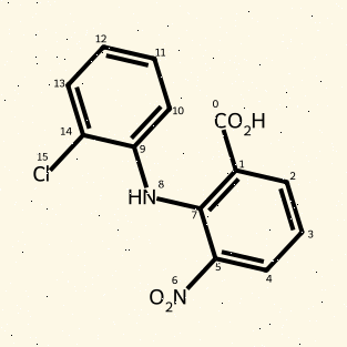 O=C(O)c1cccc([N+](=O)[O-])c1Nc1ccccc1Cl